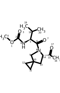 COC(=O)N[C@H](C(=O)N1CC2(CC2)C[C@H]1C(C)=O)C(C)C